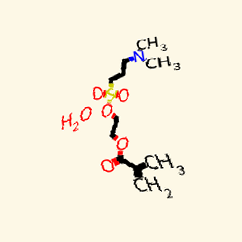 C=C(C)C(=O)OCCOS(=O)(=O)CCCN(C)C.O